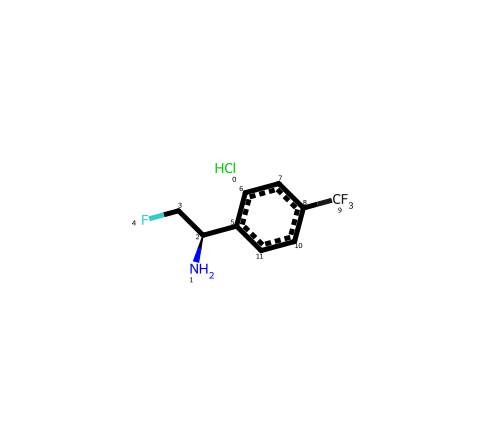 Cl.N[C@@H](CF)c1ccc(C(F)(F)F)cc1